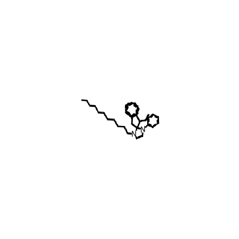 CCCCCCCCCCCN1C=CN(c2ccccc2)C1(Cc1ccccc1)C(CC)c1ccccc1